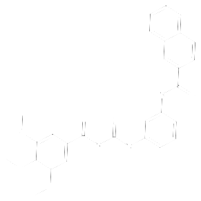 COC1=CC(C(=O)NC(=S)Nc2cccc(NC(=O)c3ccc4ccccc4c3)c2)=CC(OC)C1OC